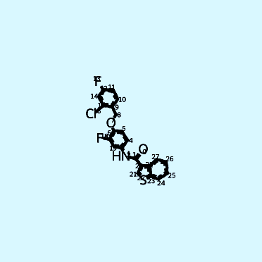 O=C(Nc1ccc(OCc2ccc(F)cc2Cl)c(F)c1)c1csc2ccccc12